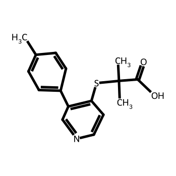 Cc1ccc(-c2cnccc2SC(C)(C)C(=O)O)cc1